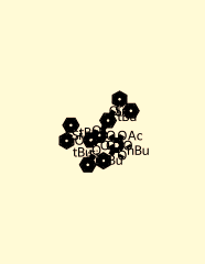 CCCCOC1C(C)OC(Oc2c(-c3ccc(O[Si](c4ccccc4)(c4ccccc4)C(C)(C)C)cc3)oc3cc(O[Si](c4ccccc4)(c4ccccc4)C(C)(C)C)cc(O[Si](c4ccccc4)(c4ccccc4)C(C)(C)C)c3c2=O)C(OC(C)=O)C1OCCCC